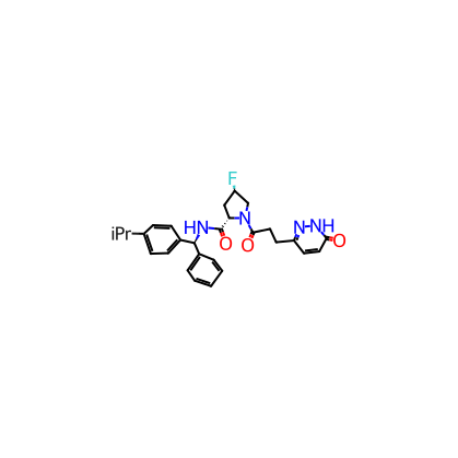 CC(C)c1ccc([C@@H](NC(=O)[C@@H]2C[C@@H](F)CN2C(=O)CCc2ccc(=O)[nH]n2)c2ccccc2)cc1